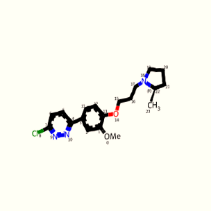 COc1cc(-c2ccc(Cl)nn2)ccc1OCCCN1CCC[C@H]1C